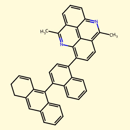 Cc1nc2c(-c3ccc(-c4c5c(cc6ccccc46)CCC=C5)c4ccccc34)ccc3c(C)nc4cccc1c4c32